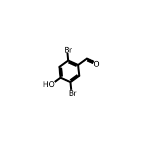 O=Cc1cc(Br)c(O)cc1Br